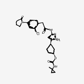 CC1(NC(=O)O[C@H]2CC[C@@H](c3cc(NC(=O)Cc4ccc(N5CCCC5=O)cc4Cl)n[nH]3)C2)CC1